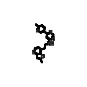 Cc1ccc(-c2cc(NCCc3ccnc4cc(C)oc34)ncn2)cn1